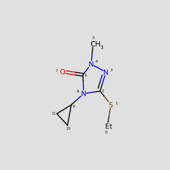 CCSc1nn(C)c(=O)n1C1CC1